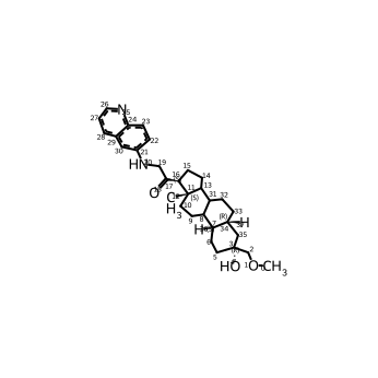 COC[C@@]1(O)CC[C@@H]2C3CC[C@@]4(C)C(CC[C@@H]4C(=O)CNc4ccc5ncccc5c4)C3CC[C@@H]2C1